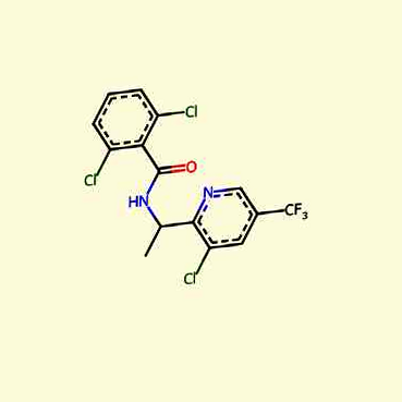 CC(NC(=O)c1c(Cl)cccc1Cl)c1ncc(C(F)(F)F)cc1Cl